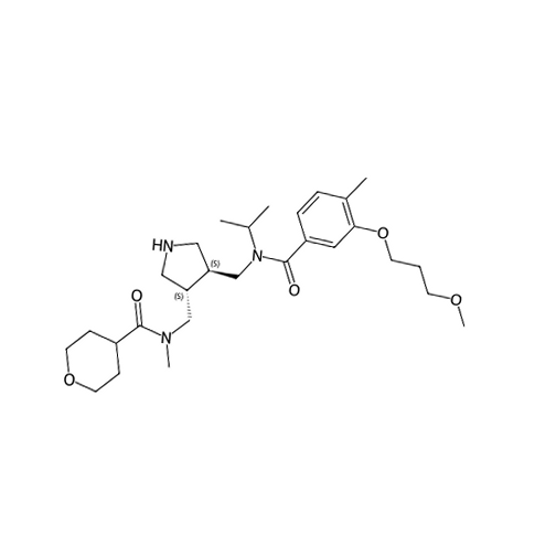 COCCCOc1cc(C(=O)N(C[C@@H]2CNC[C@H]2CN(C)C(=O)C2CCOCC2)C(C)C)ccc1C